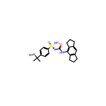 CNC(C)(C)c1ccc([S@@](N)(=O)=NC(=O)Nc2c3c(cc4c2CCC4)CCC3)cc1